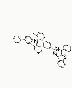 CC1C=CC=CC1n1c2ccc(-c3ccccc3)cc2c2cccc(-c3cccc(-c4nc(-c5ccccc5)c5sc6ccccc6c5n4)c3)c21